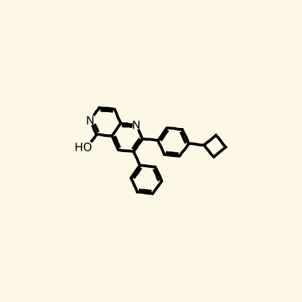 Oc1nccc2nc(-c3ccc(C4CCC4)cc3)c(-c3ccccc3)cc12